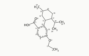 CCOc1ccc(C(=O)O)c(C2CC(C)CCC2C(C)C)c1